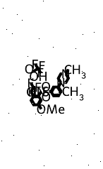 COc1ccc(OC(F)F)c(NS(=O)(=O)c2ccc(C)c(N3CCN(C)CC3)c2)c1.O=C(O)C(F)(F)F